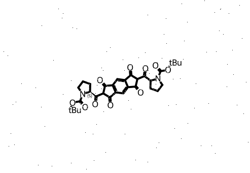 CC(C)(C)OC(=O)N1CCCC1C(=O)C1C(=O)c2cc3c(cc2C1=O)C(=O)C(C(=O)[C@@H]1CCCN1C(=O)OC(C)(C)C)C3=O